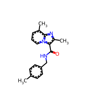 Cc1ccc(CNC(=O)c2c(C)nc3c(C)cccn23)cc1